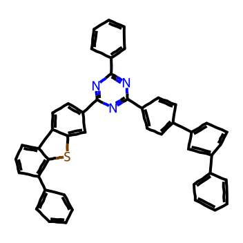 c1ccc(-c2cccc(-c3ccc(-c4nc(-c5ccccc5)nc(-c5ccc6c(c5)sc5c(-c7ccccc7)cccc56)n4)cc3)c2)cc1